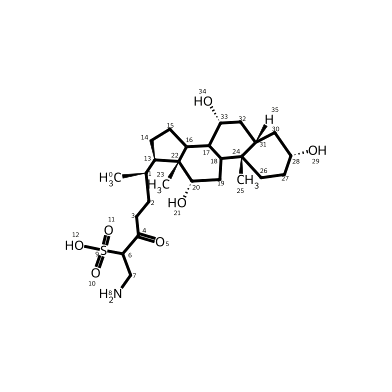 C[C@H](CCC(=O)C(CN)S(=O)(=O)O)[C@H]1CCC2C3C(C[C@H](O)[C@@]21C)[C@@]1(C)CC[C@@H](O)C[C@H]1C[C@H]3O